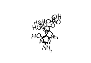 Nc1nc(O)c2c(n1)NCC(C(OP(=O)(O)O)OP(=O)(O)O)=N2